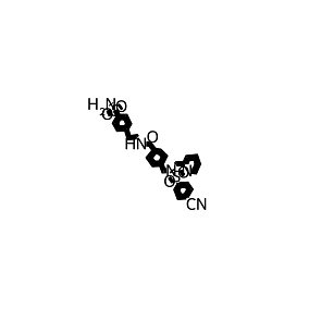 N#Cc1ccc(S(=O)(=O)N(Cc2ccc(C(=O)NCCc3ccc(S(N)(=O)=O)cc3)cc2)Cc2ccccn2)cc1